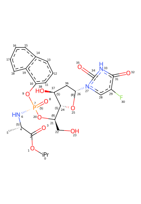 CC(C)OC(=O)[C@H](C)N[P@@](=O)(Oc1cccc2ccccc12)O[C@H](CO)[C@H]1O[C@@H](n2cc(F)c(=O)[nH]c2=O)C[C@@H]1O